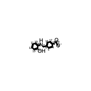 O=[N+]([O-])c1ccc(CNc2ccccc2O)cc1